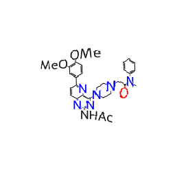 COc1ccc(-c2ccc3nc(NC(C)=O)nc(N4CCN(CC(=O)N(C)c5ccccc5)CC4)c3n2)cc1OC